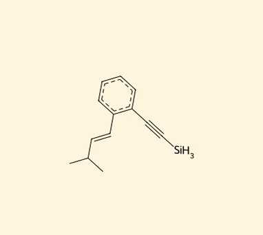 CC(C)C=Cc1ccccc1C#C[SiH3]